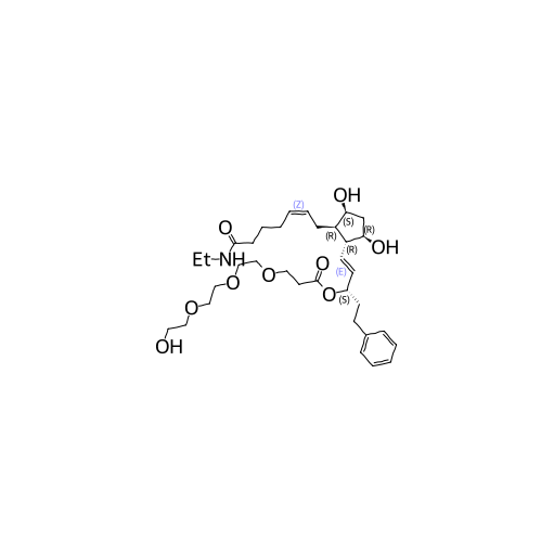 CCNC(=O)CCC/C=C\C[C@@H]1[C@@H](/C=C/[C@H](CCc2ccccc2)OC(=O)CCOCCOCCOCCO)[C@H](O)C[C@@H]1O